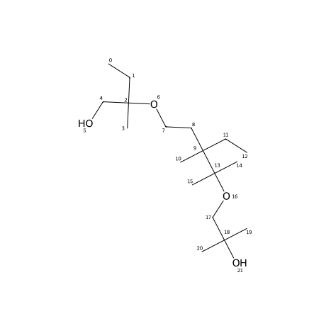 CCC(C)(CO)OCCC(C)(CC)C(C)(C)OCC(C)(C)O